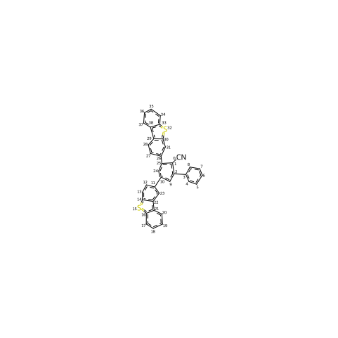 N#Cc1c(-c2ccccc2)cc(-c2ccc3sc4ccccc4c3c2)cc1-c1ccc2c(c1)sc1ccccc12